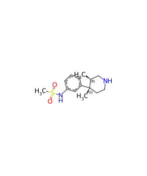 C[C@H]1CNCC[C@]1(C)c1cccc(NS(C)(=O)=O)c1